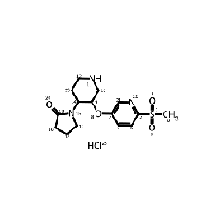 CS(=O)(=O)c1ccc(O[C@@H]2CNCCC2N2CCCC2=O)cn1.Cl